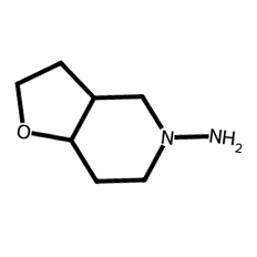 NN1CCC2OCCC2C1